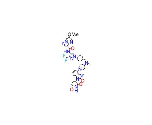 COc1cnc2c(C(=O)Nc3cn([C@H]4CC[C@H](CN(C)C5CCN(c6cccc7c6n(C)c(=O)n7C6CCC(=O)NC6=O)CC5)CC4)nc3C(F)F)cnn2c1